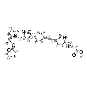 COC(=O)CNCc1ccc(C#Cc2ccc(-c3cc(Cn4ccnc4[C@H](C)OC4CCCCO4)no3)cc2)cn1